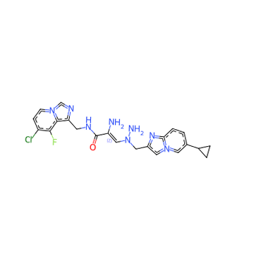 N/C(=C\N(N)Cc1cn2cc(C3CC3)ccc2n1)C(=O)NCc1ncn2ccc(Cl)c(F)c12